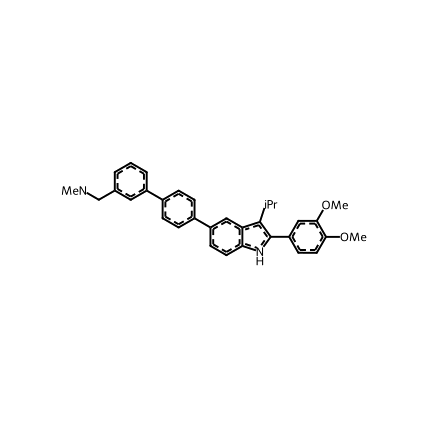 CNCc1cccc(-c2ccc(-c3ccc4[nH]c(-c5ccc(OC)c(OC)c5)c(C(C)C)c4c3)cc2)c1